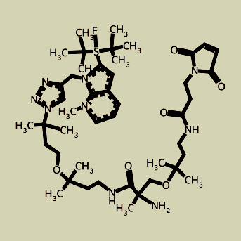 C[n+]1cccc2cc(S(F)(C(C)(C)C)C(C)(C)C)n(Cc3cn(C(C)(C)CCOC(C)(C)CCNC(=O)C(C)(N)COC(C)(C)CCNC(=O)CCN4C(=O)C=CC4=O)nn3)c21